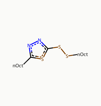 CCCCCCCCSSc1nnc(CCCCCCCC)s1